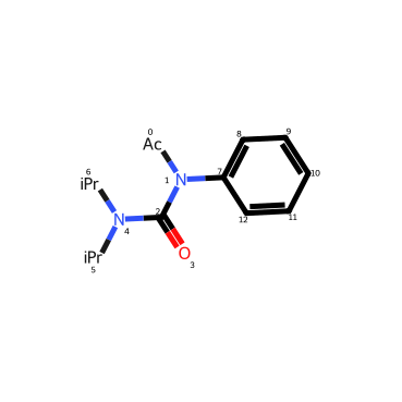 CC(=O)N(C(=O)N(C(C)C)C(C)C)c1ccccc1